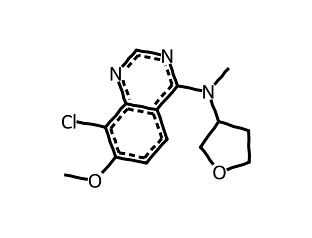 COc1ccc2c(N(C)C3CCOC3)ncnc2c1Cl